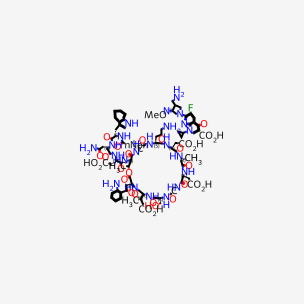 CCCCCCCCCC(=O)N[C@@H](Cc1c[nH]c2ccccc12)C(=O)N[C@@H](CC(N)=O)C(=O)N[C@@H](CC(=O)O)C(=O)N[C@H]1C(=O)NCC(=O)N[C@@H](CCCN)C(=O)N[C@@H](CC(=O)O)C(=O)N[C@H](C)C(=O)N[C@@H](CC(=O)O)C(=O)NCC(=O)N[C@H](CO)C(=O)N[C@H]([C@@H](C)CC(=O)O)C(=O)N[C@@H](CC(=O)c2ccccc2N)C(=O)OC1C.CO/N=C1\CN(c2nc3c(cc2F)c(=O)c(C(=O)O)cn3C2CC2)CC1CN